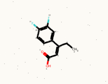 CC/C(=C/C(=O)O)c1ccc(F)c(F)c1